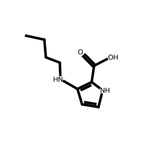 CCCCNc1cc[nH]c1C(=O)O